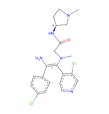 CN1CC[C@H](NC(=O)CN(C)/C(=C(\N)c2ccc(Cl)cc2)c2ccncc2Cl)C1